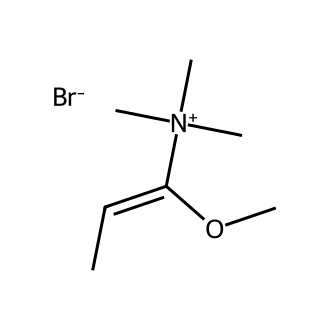 CC=C(OC)[N+](C)(C)C.[Br-]